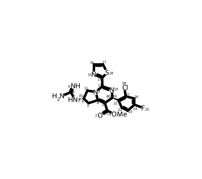 COC(=O)C1=C2C[C@H](NC(=N)N)CN2C(c2nccs2)=N[C@H]1c1ccc(F)cc1Cl